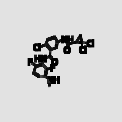 CNc1ccc(F)c(NC(=O)c2cc(NC(=O)C3CC3(Cl)Cl)ccc2Cl)c1F